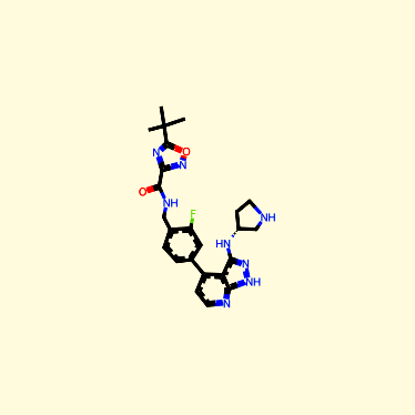 CC(C)(C)c1nc(C(=O)NCc2ccc(-c3ccnc4[nH]nc(N[C@@H]5CCNC5)c34)cc2F)no1